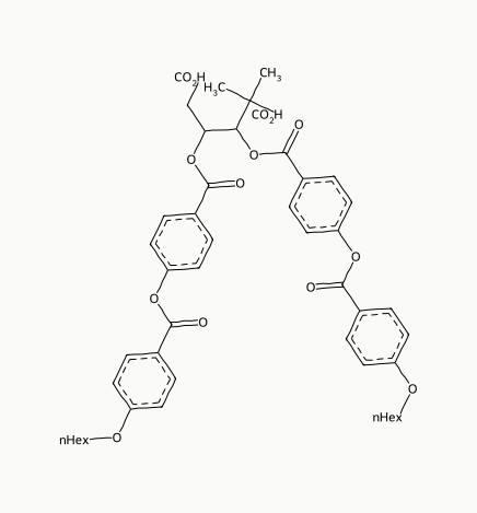 CCCCCCOc1ccc(C(=O)Oc2ccc(C(=O)OC(CC(=O)O)C(OC(=O)c3ccc(OC(=O)c4ccc(OCCCCCC)cc4)cc3)C(C)(C)C(=O)O)cc2)cc1